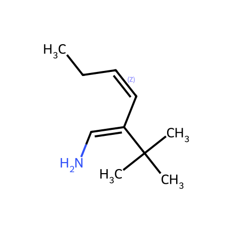 CC/C=C\C(=CN)C(C)(C)C